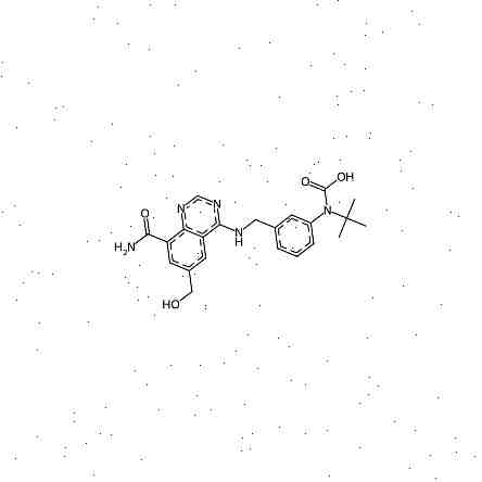 CC(C)(C)N(C(=O)O)c1cccc(CNc2ncnc3c(C(N)=O)cc(CO)cc23)c1